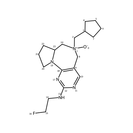 [O-][N+]1(CC2CCCC2)Cc2cnc(NCCF)nc2N2CCCC2C1